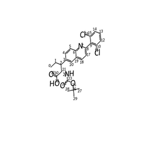 CCC(c1ccc2nc(-c3c(Cl)cccc3Cl)ccc2c1)[C@H](NC(=O)OC(C)(C)C)C(=O)O